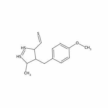 COc1ccc(CC2C(C)[SH]=[SH]C2C=S)cc1